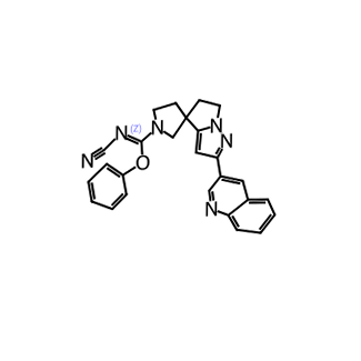 N#C/N=C(\Oc1ccccc1)N1CCC2(CCn3nc(-c4cnc5ccccc5c4)cc32)C1